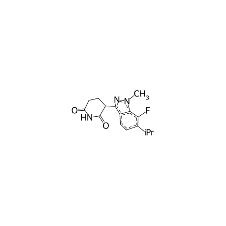 CC(C)c1ccc2c(C3CCC(=O)NC3=O)nn(C)c2c1F